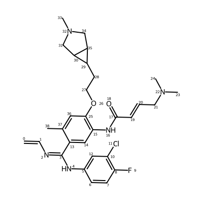 C=C/N=C(/Nc1ccc(F)c(Cl)c1)c1cc(NC(=O)/C=C/CN(C)C)c(OCCC2C3CN(C)CC23)cc1C